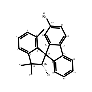 Cc1cccc2c1[C@@]1(c3ccccc3-c3ccc(Br)cc31)[C@H](C)C2(C)C